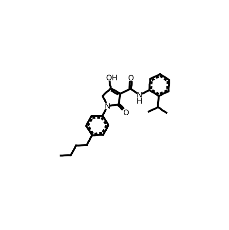 CCCCc1ccc(N2CC(O)=C(C(=O)Nc3ccccc3C(C)C)C2=O)cc1